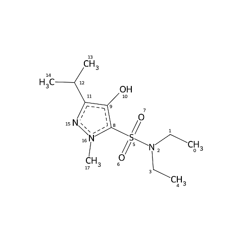 CCN(CC)S(=O)(=O)c1c(O)c(C(C)C)nn1C